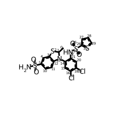 CC1Sc2cc(S(N)(=O)=O)ccc2N1c1cc(Cl)c(Cl)cc1NS(=O)(=O)c1cccs1